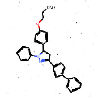 COCCOc1ccc(C2CC(c3ccc(-c4ccccc4)cc3)=NN2c2ccccc2)cc1